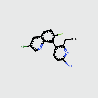 CCc1nc(N)ccc1-c1c(F)ccc2cc(Cl)cnc12